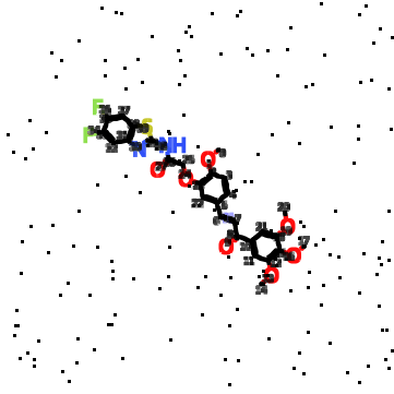 COc1ccc(/C=C/C(=O)c2cc(OC)c(OC)c(OC)c2)cc1OCC(=O)Nc1nc2cc(F)c(F)cc2s1